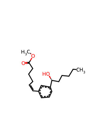 CCCCC[C@H](O)c1cccc(/C=C\CCCC(=O)OC)c1